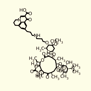 CC[C@H]1OC(=O)[C@H](C)[C@@H](O[C@H]2C[C@@](C)(OC)[C@@H](OCCCNCCCc3cc4c5c(c3)c(=O)c(C(=O)O)cn5CCC4)[C@H](C)O2)[C@H](C)[C@@H](O[C@@H]2O[C@H](C)C[C@H](N(C)C)[C@H]2O)[C@](C)(OC)C[C@@H](C)C(=O)C(C)[C@H]2NC(=O)O[C@@]21C